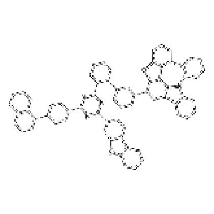 c1cc(-c2ccccc2-c2nc(-c3ccc(-c4cccc5ccccc45)cc3)nc(-c3ccc4c(c3)sc3ccccc34)n2)cc(-c2cc3c4ccccc4n4c5ccccc5c5cccc6oc2c(c65)c34)c1